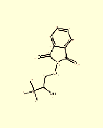 CC(C)(C)C(O)CON1C(=O)c2ccccc2C1=O